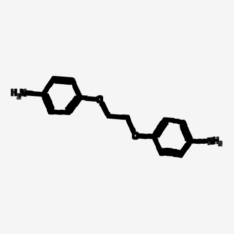 Nc1ccc(OCCOc2ccc(N)cc2)cc1